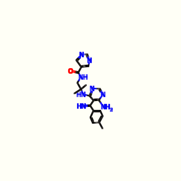 Cc1ccc(C(=N)c2c(N)ncnc2NC(C)(C)CNC(=O)c2cncnc2)cc1